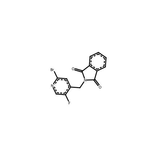 O=C1c2ccccc2C(=O)N1Cc1cc(Br)ncc1F